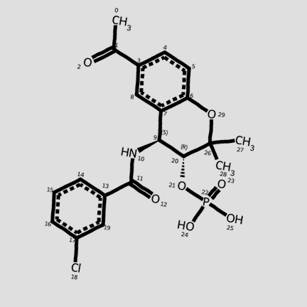 CC(=O)c1ccc2c(c1)[C@H](NC(=O)c1cccc(Cl)c1)[C@@H](OP(=O)(O)O)C(C)(C)O2